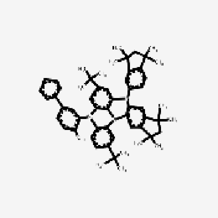 Cc1ccc(-c2ccccc2)cc1N1c2ccc(C(C)(C)C)cc2B2c3cc4c(cc3N(c3ccc5c(c3)C(C)(C)CC5(C)C)c3cc(C(C)(C)C)cc1c32)C(C)(C)CC4(C)C